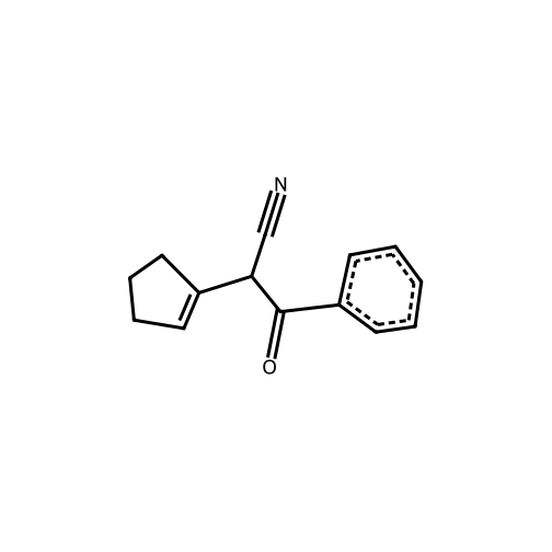 N#CC(C(=O)c1ccccc1)C1=CCCC1